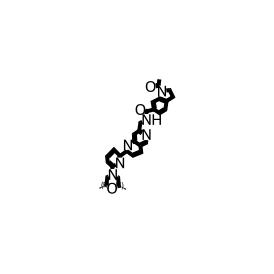 CC(=O)N1CCc2ccc(C(=O)NCc3cc4nc(-c5cccc(N6C[C@@H](C)O[C@@H](C)C6)n5)ccc4cn3)cc21